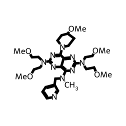 COCCN(CCOC)c1nc(N2CCC(OC)CC2)c2nc(N(CCOC)CCOC)nc(N(C)Cc3cccnc3)c2n1